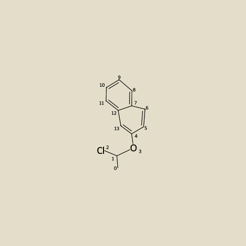 CC(Cl)Oc1ccc2ccccc2c1